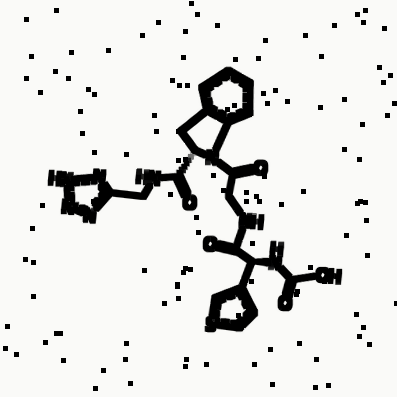 O=C(O)N[C@H](C(=O)NCC(=O)N1c2ccccc2C[C@H]1C(=O)NCc1nn[nH]n1)c1ccsc1